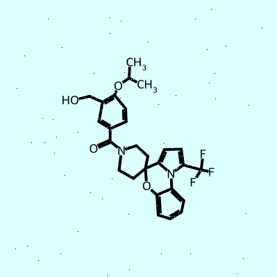 CC(C)Oc1ccc(C(=O)N2CCC3(CC2)Oc2ccccc2-n2c(C(F)(F)F)ccc23)cc1CO